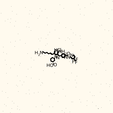 Cl.NCCCC/C=C/c1cnc(N)c2c(-c3ccc(C(=O)Nc4cc(C(F)(F)F)ccn4)cc3)nn([C@@H]3CCC[C@@H](C(=O)O)C3)c12